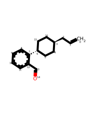 C=CC[C@H]1CC[C@H](c2ccccc2C=O)CC1